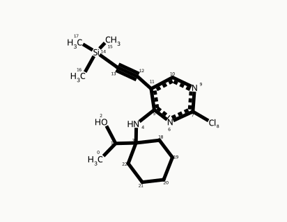 CC(O)C1(Nc2nc(Cl)ncc2C#C[Si](C)(C)C)CCCCC1